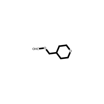 O=[C]OCC1CCOCC1